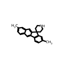 Cc1ccc2c(c1)C1(CCNCC1)c1cc3cc(C)ccc3cc1-2